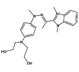 C/C(=N\N(C)c1ccc(N(CCO)CCO)cc1)c1n(C)c2ccccc2[n+]1C